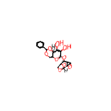 OC1C(O)[C@@H]2OC(c3ccccc3)OCC2O[C@H]1O[C@@H]1C2CO[C@H](O2)C23OC2C13